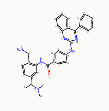 CC(c1ccc(CN)c(NC(=O)c2ccc(Nc3nc(-c4ccccc4)c4ccccc4n3)cc2)c1)N(C)C